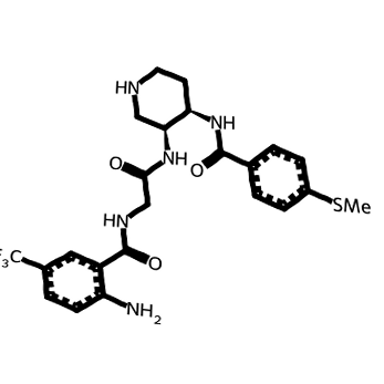 CSc1ccc(C(=O)N[C@@H]2CCNC[C@@H]2NC(=O)CNC(=O)c2cc(C(F)(F)F)ccc2N)cc1